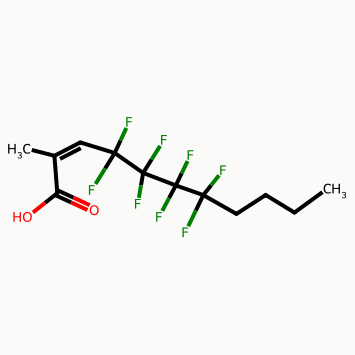 CCCCC(F)(F)C(F)(F)C(F)(F)C(F)(F)C=C(C)C(=O)O